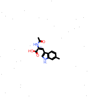 CC(=O)N/C(=C/c1c[nH]c2cc(C)ccc12)C(=O)O